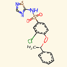 C[C@@H](Oc1ccc(S(=O)(=O)Nc2ncns2)cc1Cl)c1ccccc1